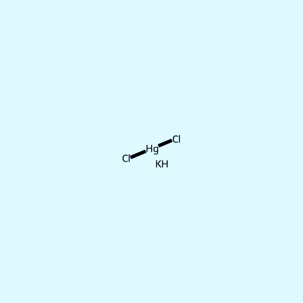 [Cl][Hg][Cl].[KH]